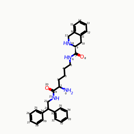 NC(CCCCNC(=O)[C@@H]1Cc2ccccc2CN1)C(=O)NCC(c1ccccc1)c1ccccc1